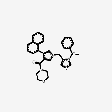 C[C@H](c1ccccc1)n1cncc1Cn1cc(C(=O)N2CCOCC2)c(-c2cccc3ccccc23)c1